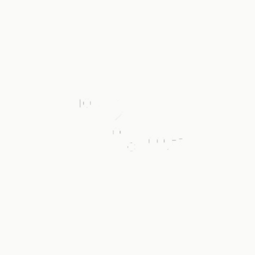 CCOC(=O)Cc1cc2ccc(O)cc2oc1=O